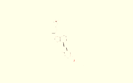 CC1CC[C@H](OC(=O)C(F)(F)F)C/C1=C/C=C1\CCC[C@@]2(C)C1CC[C@@H]2C(C)CCCC(C)(C)O